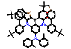 Cc1ccccc1N(c1cc2c3c(c1)N(c1ccc(C(C)(C)C)cc1-c1ccccc1)c1c(sc4ccc(C(C)(C)C)cc14)B3c1cc3c(cc1N2c1ccc(C(C)(C)C)cc1-c1ccccc1)SCC3(C)C)c1ccccc1C